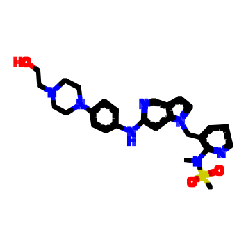 CN(c1ncccc1Cn1ccc2cnc(Nc3ccc(N4CCN(CCO)CC4)cc3)cc21)S(C)(=O)=O